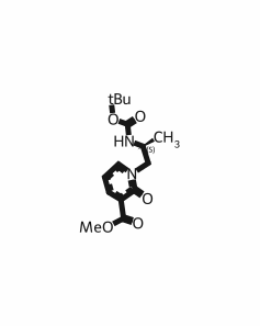 COC(=O)c1cccn(C[C@H](C)NC(=O)OC(C)(C)C)c1=O